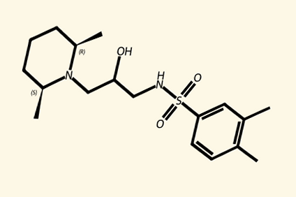 Cc1ccc(S(=O)(=O)NCC(O)CN2[C@H](C)CCC[C@@H]2C)cc1C